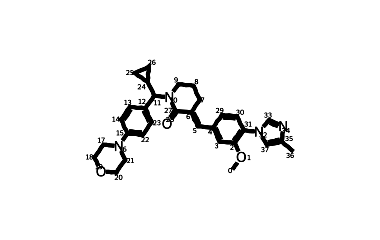 COc1cc(C=C2CCCN(C(c3ccc(N4CCOCC4)cc3)C3CC3)C2=O)ccc1-n1cnc(C)c1